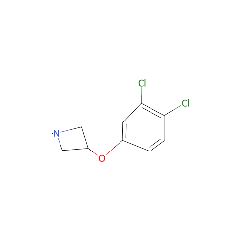 Clc1ccc(OC2C[N]C2)cc1Cl